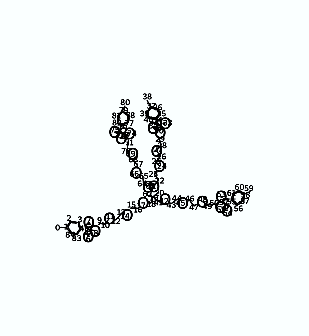 Cc1ccc(S(=O)(=O)OCCOCCOCCOCC(COCCOCCOCCOS(=O)(=O)c2ccc(C)cc2)(COCCOCCOCCOS(=O)(=O)c2ccc(C)cc2)COCCOCCOCCOS(=O)(=O)c2ccc(C)cc2)cc1